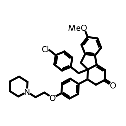 COc1ccc2c(c1)CC1(Cc3ccc(Cl)cc3)C2=CC(=O)CC1c1ccc(OCCN2CCCCC2)cc1